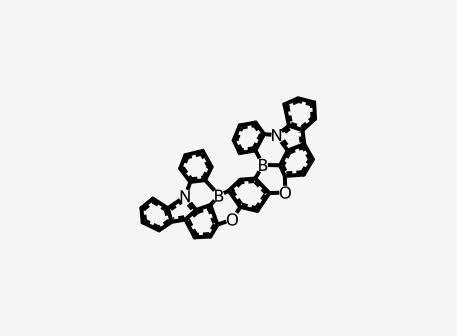 c1ccc2c(c1)B1c3cc4c(cc3Oc3ccc5c6ccccc6n-2c5c31)Oc1ccc2c3ccccc3n3c2c1B4c1ccccc1-3